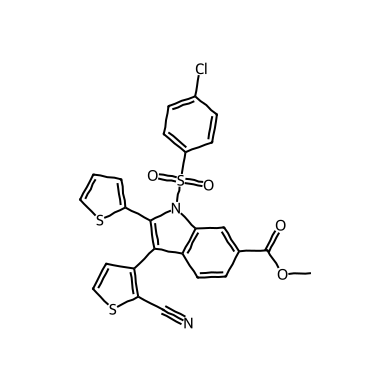 COC(=O)c1ccc2c(-c3ccsc3C#N)c(-c3cccs3)n(S(=O)(=O)c3ccc(Cl)cc3)c2c1